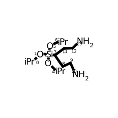 CC(C)O[Si](OC(C)C)(OC(C)C)C(CCN)CCN